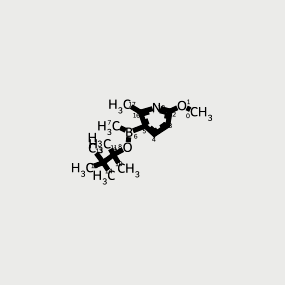 COc1ccc(B(C)OC(C)(C)C(C)(C)C)c(C)n1